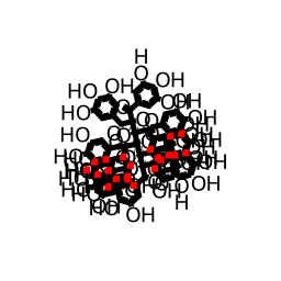 O=C(OC(C(=O)c1cc(O)c(O)c(O)c1)(C(=O)c1cc(O)c(O)c(O)c1)[C@](OC(=O)c1cc(O)c(O)c(O)c1)(C(=O)c1cc(O)c(O)c(O)c1)[C@](OC(=O)c1cc(O)c(O)c(O)c1)(C(=O)c1cc(O)c(O)c(O)c1)[C@@](OC(=O)c1cc(O)c(O)c(O)c1)(C(=O)c1cc(O)c(O)c(O)c1)[C@@](OC(=O)c1cc(O)c(O)c(O)c1)(C(=O)C(=O)c1cc(O)c(O)c(O)c1)C(=O)c1cc(O)c(O)c(O)c1)c1cc(O)c(O)c(O)c1